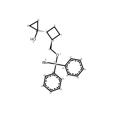 CC(C)(C)[Si](OC[C@@H]1CC[C@H]1C1(O)CC1)(c1ccccc1)c1ccccc1